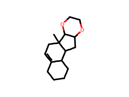 CC12CC=C3CCCCC3C1CC1OCCOC12